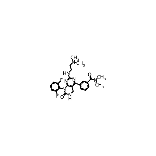 CN(C)CCNc1nc(-c2cccc(C(=O)N(C)C)c2)c2c(n1)N(c1c(F)cccc1F)C(=O)NC2